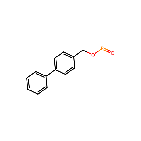 O=POCc1ccc(-c2ccccc2)cc1